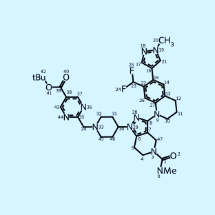 CNC(=O)N1CCc2c(c(N3CCCc4cc(-c5cnn(C)c5)c(C(F)F)cc43)nn2C2CCN(Cc3ncc(C(=O)OC(C)(C)C)cn3)CC2)C1